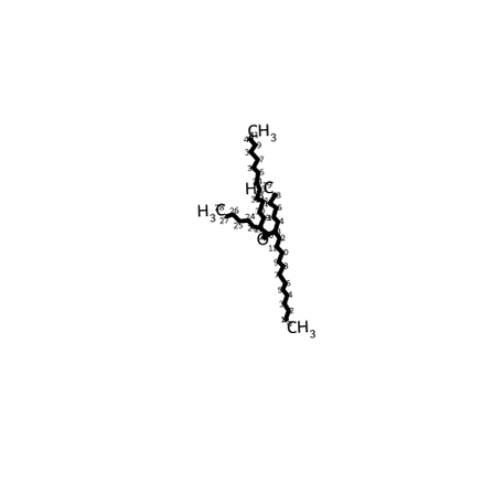 CCCCCCCCCCCCCC(CCCCCC)C(=O)C(CCCCCC)CCCCCCCCCCCCC